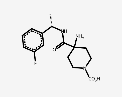 C[C@H](NC(=O)C1(N)CCN(C(=O)O)CC1)c1cccc(F)c1